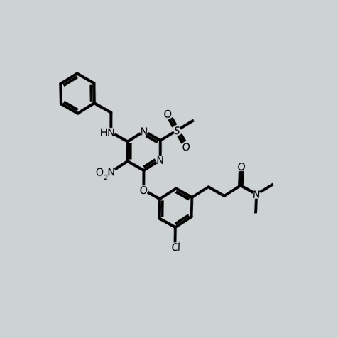 CN(C)C(=O)CCc1cc(Cl)cc(Oc2nc(S(C)(=O)=O)nc(NCc3ccccc3)c2[N+](=O)[O-])c1